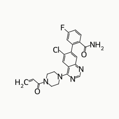 C=CC(=O)N1CCN(c2ncnc3cc(-c4cc(F)ccc4C(N)=O)c(Cl)cc23)CC1